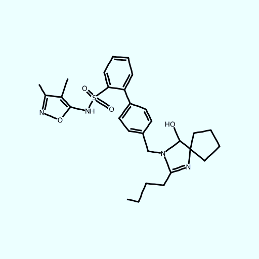 CCCCC1=NC2(CCCC2)C(O)N1Cc1ccc(-c2ccccc2S(=O)(=O)Nc2onc(C)c2C)cc1